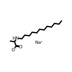 CCCCCCCCCCCCNC(C)C(=O)[O-].[Na+]